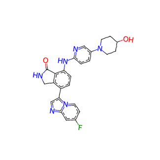 O=C1NCc2c(-c3cnc4cc(F)ccn34)ccc(Nc3ccc(N4CCC(O)CC4)cn3)c21